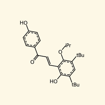 CC(C)Oc1c(C(C)(C)C)cc(C(C)(C)C)c(O)c1C=CC(=O)c1ccc(O)cc1